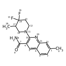 Cc1ccc2cc(C(N)=O)c(N3CCC(F)(F)C(C)C3)nc2c1